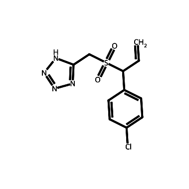 C=CC(c1ccc(Cl)cc1)S(=O)(=O)Cc1nnn[nH]1